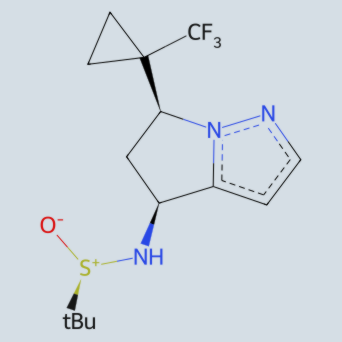 CC(C)(C)[S@@+]([O-])N[C@H]1C[C@@H](C2(C(F)(F)F)CC2)n2nccc21